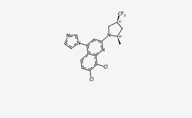 C[C@@H]1C[C@H](C(F)(F)F)CN1c1cc(-n2ccnc2)c2ccc(Cl)c(Cl)c2n1